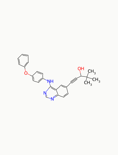 CC(C)(C)C(O)C#Cc1ccc2ncnc(Nc3ccc(Oc4ccccc4)cc3)c2c1